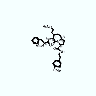 CN[C@H](Cc1ccccc1)C(=O)N[C@@H]1C(=O)N2[C@@H](CC[C@@H]1CCNC(C)=O)CC[C@H]2C(=O)NCCc1ccc(OC)cc1